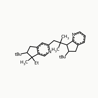 CCC1(C)c2cnc(CC(C)(C)C3c4ncccc4CC3C(C)(C)C)cc2CC1C(C)(C)C